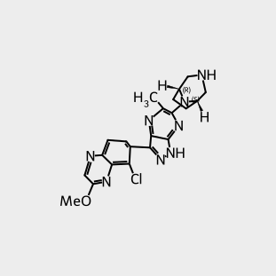 COc1cnc2ccc(-c3n[nH]c4nc(N5[C@@H]6CC[C@H]5CNC6)c(C)nc34)c(Cl)c2n1